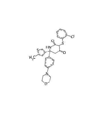 Cc1cc(C2(c3ccc(N4CCOCC4)cc3)CC(=O)C(Sc3ccccc3Cl)C(=O)N2)cs1